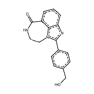 O=C1NCCn2c(-c3ccc(CO)cc3)nc3cccc1c32